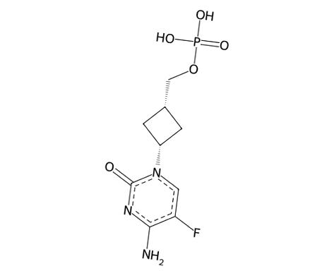 Nc1nc(=O)n([C@H]2C[C@@H](COP(=O)(O)O)C2)cc1F